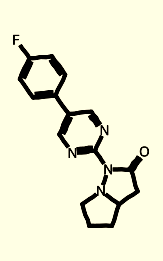 O=C1CC2CCCN2N1c1ncc(-c2ccc(F)cc2)cn1